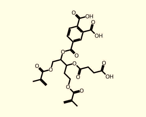 C=C(C)C(=O)OCCC(OC(=O)CCC(=O)O)C(COC(=O)C(=C)C)OC(=O)c1ccc(C(=O)O)c(C(=O)O)c1